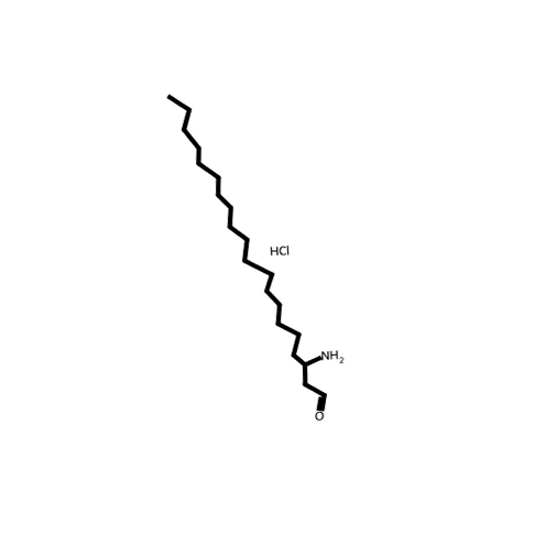 CCCCCCCCCCCCCCCCCC(N)CC=O.Cl